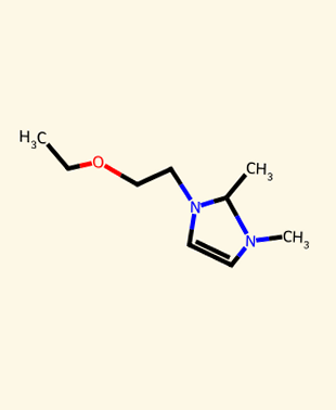 CCOCCN1C=CN(C)C1C